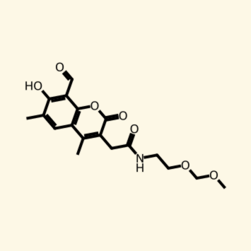 COCOCCNC(=O)Cc1c(C)c2cc(C)c(O)c(C=O)c2oc1=O